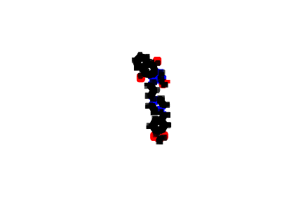 O=C1c2ccccc2C(=O)c2c1n[n+]([O-])n2CCCN1CCN(Cc2ccc3c(c2)OCO3)CC1